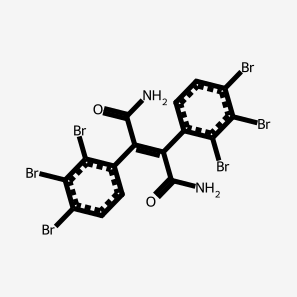 NC(=O)C(=C(C(N)=O)c1ccc(Br)c(Br)c1Br)c1ccc(Br)c(Br)c1Br